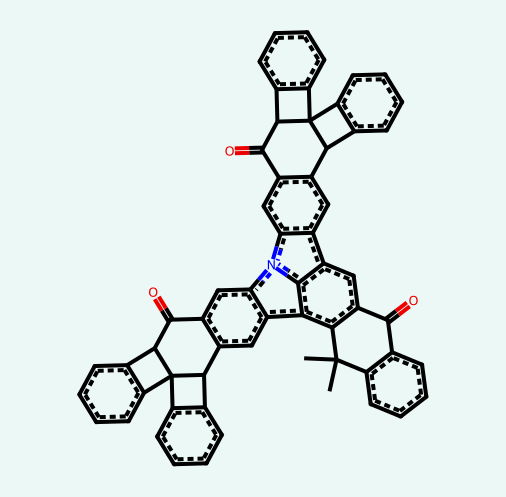 CC1(C)c2ccccc2C(=O)c2cc3c4cc5c(cc4n4c6cc7c(cc6c(c21)c34)C1c2ccccc2C12c1ccccc1C2C7=O)C(=O)C1c2ccccc2C12c1ccccc1C52